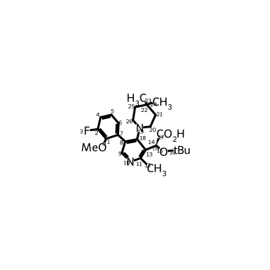 COc1c(F)cccc1-c1cnc(C)c([C@H](OC(C)(C)C)C(=O)O)c1N1CCC(C)(C)CC1